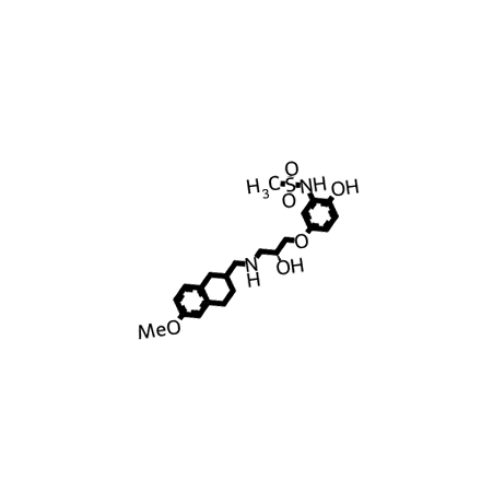 COc1ccc2c(c1)CCC(CNC[C@@H](O)COc1ccc(O)c(NS(C)(=O)=O)c1)C2